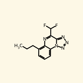 CCCc1cccc2c1nc(C(F)F)c1nnnn12